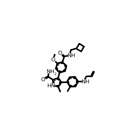 C=CCNc1ccc(-c2c(C)[nH]c(C(N)=O)c2-c2ccc(C(=O)NCC3CCC3)c(OC)c2)c(C)c1